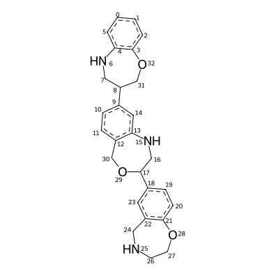 c1ccc2c(c1)NCC(c1ccc3c(c1)NCC(c1ccc4c(c1)CNCCO4)OC3)CO2